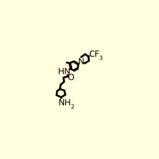 Cc1cc(N2CCC(C(F)(F)F)CC2)ccc1NC(=O)CCCC1CCC(N)CC1